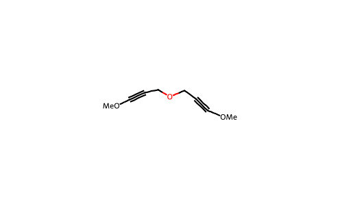 COC#CCOCC#COC